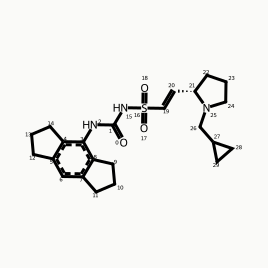 O=C(Nc1c2c(cc3c1CCC3)CCC2)NS(=O)(=O)/C=C/[C@@H]1CCCN1CC1CC1